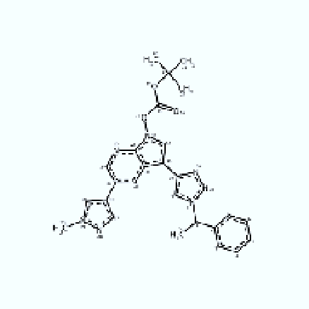 CC(c1ccccc1)n1cc(-c2cn(OC(=O)OC(C)(C)C)c3ncc(-c4cnn(C)c4)cc23)nn1